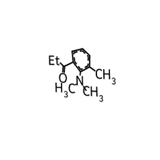 CCC(=O)c1cccc(C)c1N(C)C